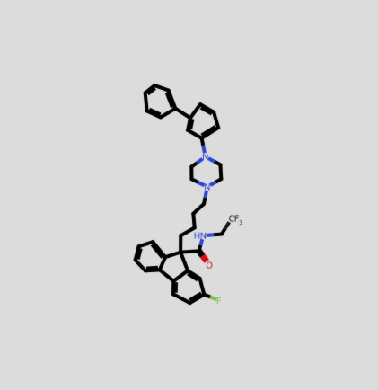 O=C(NCC(F)(F)F)C1(CCCCN2CCN(c3cccc(-c4ccccc4)c3)CC2)c2ccccc2-c2ccc(F)cc21